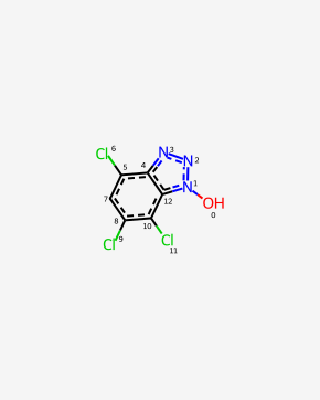 On1nnc2c(Cl)cc(Cl)c(Cl)c21